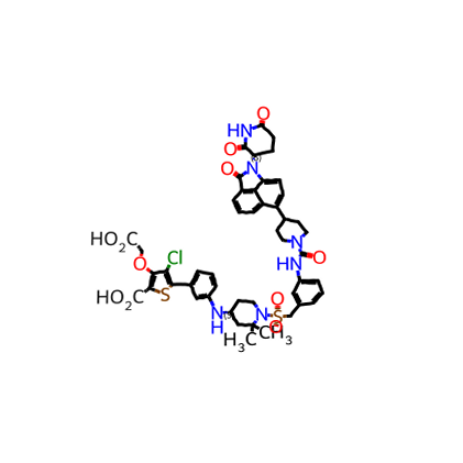 CC1(C)C[C@@H](Nc2cccc(-c3sc(C(=O)O)c(OCC(=O)O)c3Cl)c2)CCN1S(=O)(=O)Cc1cccc(NC(=O)N2CCC(c3ccc4c5c(cccc35)C(=O)N4[C@H]3CCC(=O)NC3=O)CC2)c1